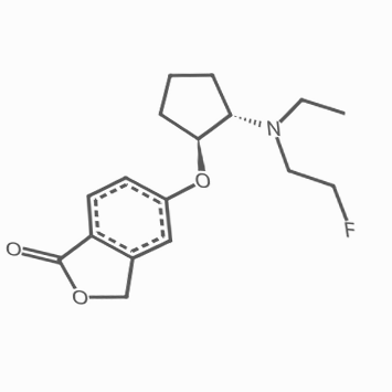 CCN(CCF)[C@H]1CCC[C@@H]1Oc1ccc2c(c1)COC2=O